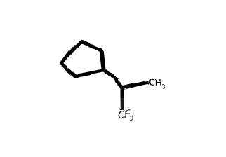 CC(C1CCCC1)C(F)(F)F